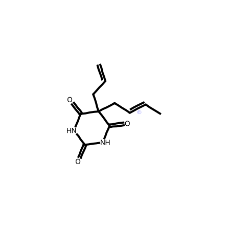 C=CCC1(C/C=C/C)C(=O)NC(=O)NC1=O